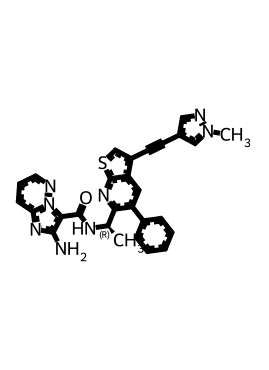 C[C@@H](NC(=O)c1c(N)nc2cccnn12)c1nc2scc(C#Cc3cnn(C)c3)c2cc1-c1ccccc1